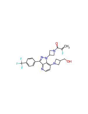 C=C(F)C(=O)N1CC(n2nc(-c3ccc(C(F)(F)F)cc3)c3nccc(N4CC(CO)C4)c32)C1